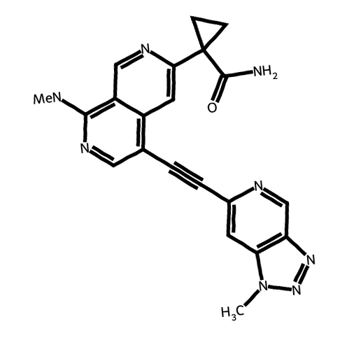 CNc1ncc(C#Cc2cc3c(cn2)nnn3C)c2cc(C3(C(N)=O)CC3)ncc12